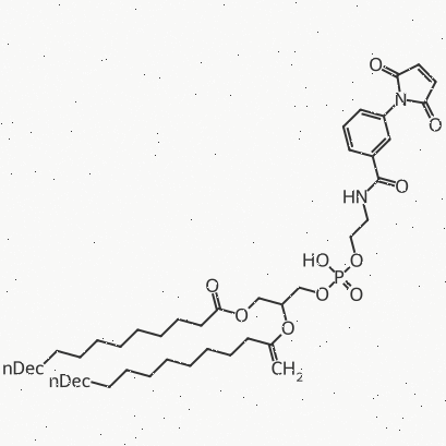 C=C(CCCCCCCCCCCCCCCCCC)OC(COC(=O)CCCCCCCCCCCCCCCCCC)COP(=O)(O)OCCNC(=O)c1cccc(N2C(=O)C=CC2=O)c1